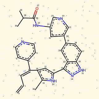 C=C/C=C(/c1ccncc1)c1cc(-c2n[nH]c3ccc(-c4cncc(NC(=O)C(C)C)c4)cc23)[nH]c1C